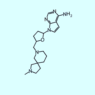 CN1CCC2(CCCN(CC3CCC(n4ccc5c(N)ncnc54)O3)C2)C1